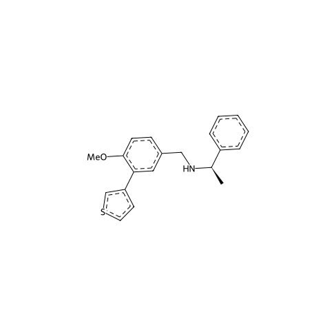 COc1ccc(CN[C@H](C)c2ccccc2)cc1-c1ccsc1